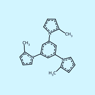 Cc1cccn1-c1cc(-n2cccc2C)cc(-n2cccc2C)c1